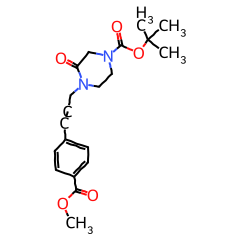 COC(=O)c1ccc(CCCN2CCN(C(=O)OC(C)(C)C)CC2=O)cc1